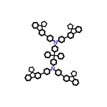 c1ccc(C(c2ccccc2)(c2ccc(N(c3ccc(-c4ccc5c(c4)C4(CCCC4)c4ccccc4-5)cc3)c3ccc(-c4ccc5c(c4)C4(CCCC4)c4ccccc4-5)cc3)cc2)c2ccc(N(c3ccc(-c4ccc5c(c4)C4(CCCC4)c4ccccc4-5)cc3)c3ccc(-c4ccc5c(c4)C4(CCCC4)c4ccccc4-5)cc3)cc2)cc1